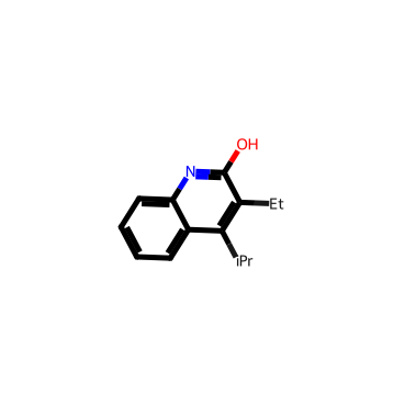 CCc1c(O)nc2ccccc2c1C(C)C